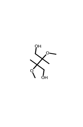 COC(C)(CO)C(C)(CO)OC